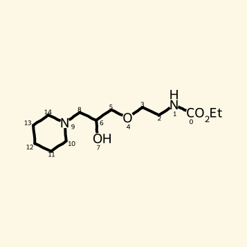 CCOC(=O)NCCOCC(O)CN1CCCCC1